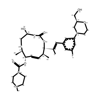 C/C(=C\c1cc(F)cc(N2CCO[C@H](CO)C2)c1)[C@H]1OC(=O)C[C@H](O)CC[C@H](C)[C@@H](OC(=O)N2CCN(C)CC2)/C=C/[C@@H]1C